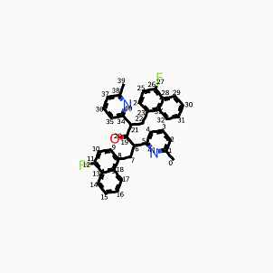 Cc1cccc(C(Cc2ccc(F)c3ccccc23)C(=O)C(Cc2ccc(F)c3ccccc23)c2cccc(C)n2)n1